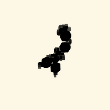 CS(=O)(=O)c1ccc(Oc2ccc(NC(=O)N3CC(c4ccc(F)cc4)=C(c4ccc(F)cc4)N3)cc2)cc1